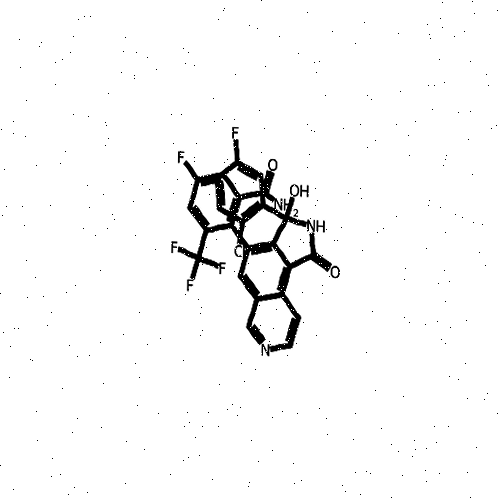 NC(=O)c1cc(F)cc(C(F)(F)F)c1-c1cc2cnccc2c2c1C(O)(c1cc(F)ccc1Cl)NC2=O